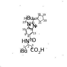 CCC(C)CC(CC(=O)O)NC(=O)c1ccc2c(c1)nc(CC1CCCC1)n2CC(C)CC